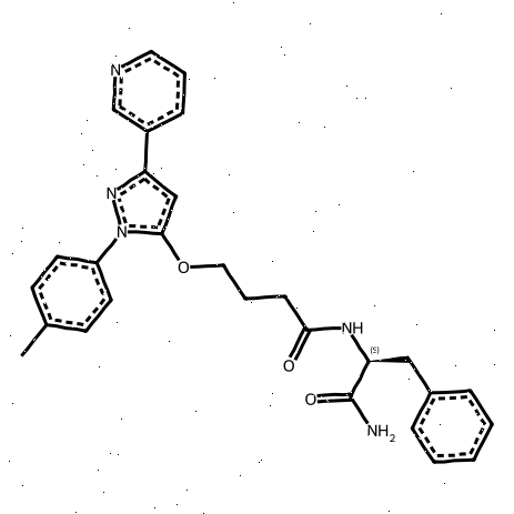 Cc1ccc(-n2nc(-c3cccnc3)cc2OCCCC(=O)N[C@@H](Cc2ccccc2)C(N)=O)cc1